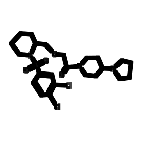 O=C(COCC1CCCCN1S(=O)(=O)c1ccc(Cl)c(Cl)c1)N1CCC(N2CCCC2)CC1